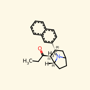 CCC(=O)[C@@H]1[C@H]2CCC(C[C@H]1c1ccc3ccccc3c1)N2C